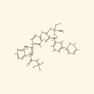 CCC(N)(CC)CN(Cc1ccc(C(=O)Nc2ccccc2NC(=O)OC(C)(C)C)nc1)C(=O)NC1=COC=C(C2=CC=CCC2)O1